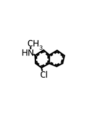 CNc1cc(Cl)c2ccccc2c1